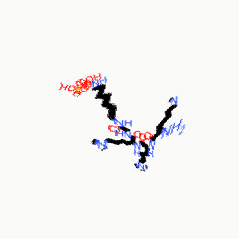 CN(C)CCCCC(N)C(=O)NC(CCCC[N+](C)(C)C)C(=O)NC(CCCCN(C)C)C(=O)NCC(=O)NCCCCCCCNP(=O)(O)OP(=O)(O)O